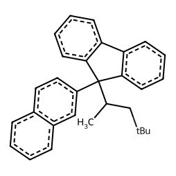 CC(CC(C)(C)C)C1(c2ccc3ccccc3c2)c2ccccc2-c2ccccc21